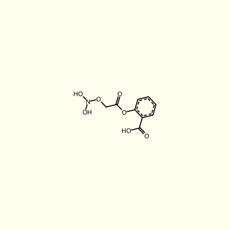 O=C(CON(O)O)Oc1ccccc1C(=O)O